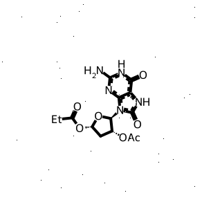 CCC(=O)O[C@H]1C[C@@H](OC(C)=O)[C@H](n2c(=O)[nH]c3c(=O)[nH]c(N)nc32)O1